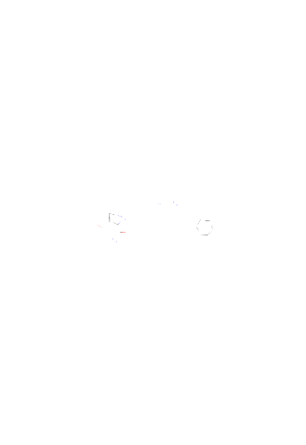 CN1CCC(=O)c2ccn(CCCCN3CCN(CC4COc5ccccc5O4)CC3)c2C1=O